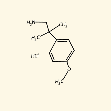 COc1ccc(C(C)(C)CN)cc1.Cl